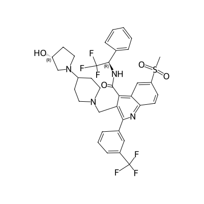 CS(=O)(=O)c1ccc2nc(-c3cccc(C(F)(F)F)c3)c(CN3CCC(N4CC[C@@H](O)C4)CC3)c(C(=O)N[C@H](c3ccccc3)C(F)(F)F)c2c1